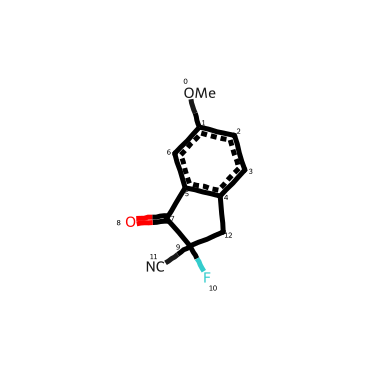 COc1ccc2c(c1)C(=O)C(F)(C#N)C2